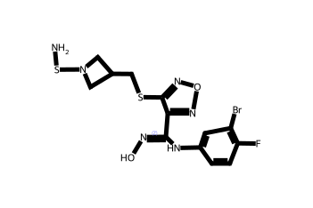 NSN1CC(CSc2nonc2/C(=N/O)Nc2ccc(F)c(Br)c2)C1